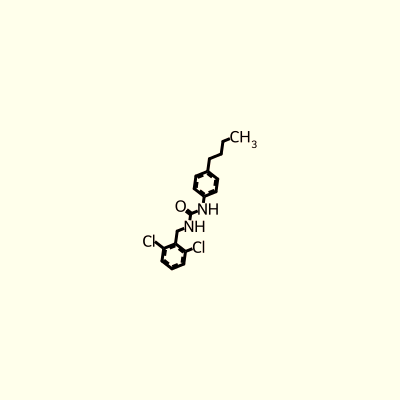 CCCCc1ccc(NC(=O)NCc2c(Cl)cccc2Cl)cc1